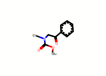 CCN(CC(=O)c1ccccc1)C(=O)OC(C)(C)C